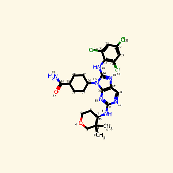 CC1(C)COCC[C@H]1Nc1ncc2nc(Nc3c(Cl)cc(Cl)cc3Cl)n(C3CCC(C(N)=O)CC3)c2n1